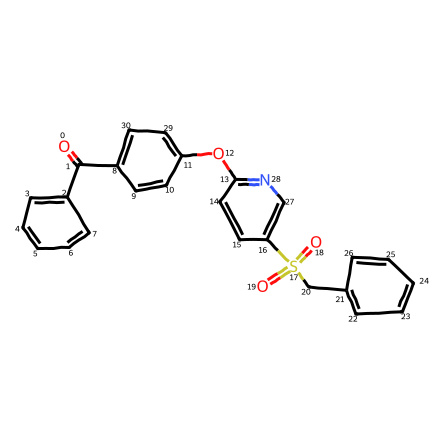 O=C(c1ccccc1)c1ccc(Oc2ccc(S(=O)(=O)Cc3ccccc3)cn2)cc1